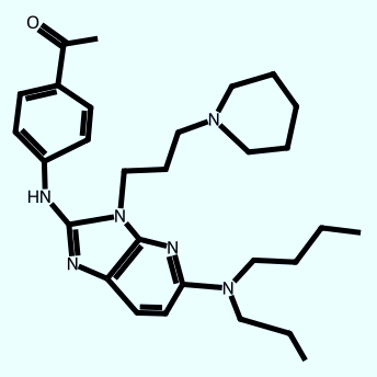 CCCCN(CCC)c1ccc2nc(Nc3ccc(C(C)=O)cc3)n(CCCN3CCCCC3)c2n1